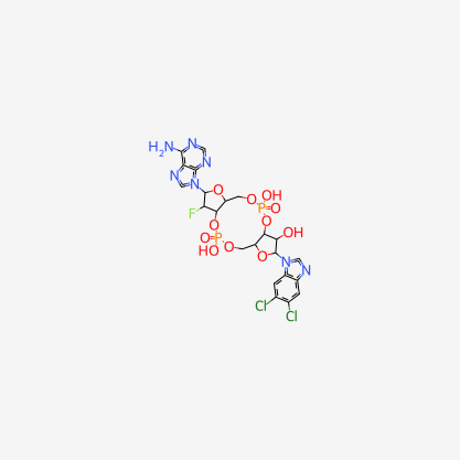 Nc1ncnc2c1ncn2C1OC2COP(=O)(O)OC3C(COP(=O)(O)OC2C1F)OC(n1cnc2cc(Cl)c(Cl)cc21)C3O